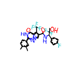 Cc1ccc(-c2nn3cc(C(=O)NC(c4ccc(F)cc4)C(F)(F)CO)c(C(F)(F)F)c3c(=O)[nH]2)cc1C